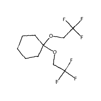 FC(F)(F)COC1(OCC(F)(F)F)CCCCC1